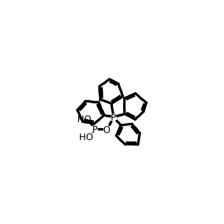 OP(O)OP(c1ccccc1)(c1ccccc1)(c1ccccc1)c1ccccc1